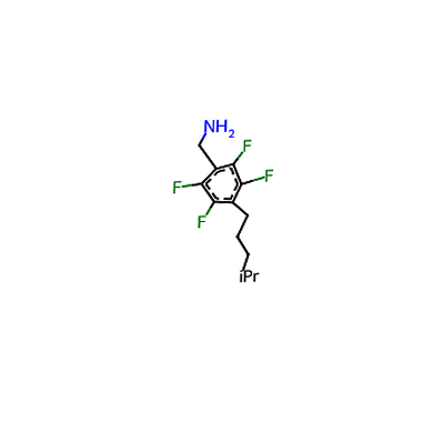 CC(C)CCCc1c(F)c(F)c(CN)c(F)c1F